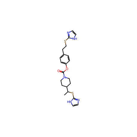 CC(Sc1ncc[nH]1)C1CCN(C(=O)Oc2ccc(CCSc3ncc[nH]3)cc2)CC1